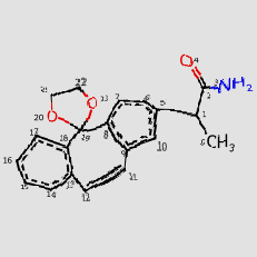 CC(C(N)=O)c1ccc2c(c1)C=Cc1ccccc1C21OCCO1